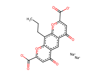 CCCc1c2oc(C(=O)[O-])cc(=O)c2cc2c(=O)cc(C(=O)[O-])oc12.[Na+].[Na+]